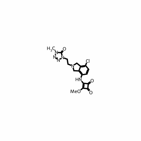 COc1c(Nc2ccc(Cl)c3c2CN(CCn2nnn(C)c2=O)C3)c(=O)c1=O